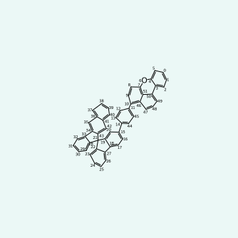 c1ccc2c(c1)Oc1ccc(-c3ccc(-c4ccc5c(c4)C4(c6ccccc6-5)c5ccccc5-c5cc6ccccc6cc54)cc3)c3cccc-2c13